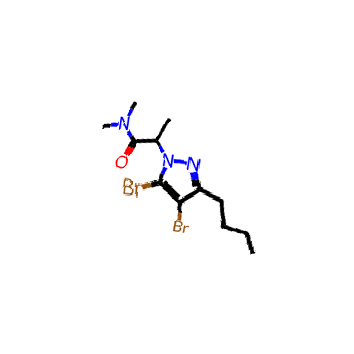 CCCCc1nn(C(C)C(=O)N(C)C)c(Br)c1Br